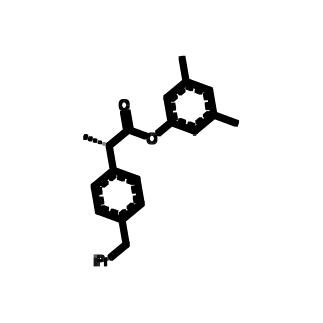 Cc1[c]c(OC(=O)[C@@H](C)c2ccc(CC(C)C)cc2)cc(C)c1